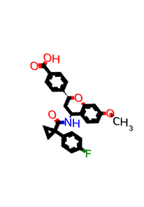 COc1ccc2c(c1)O[C@@H](c1ccc(C(=O)O)cc1)C[C@H]2NC(=O)C1(c2ccc(F)cc2)CC1